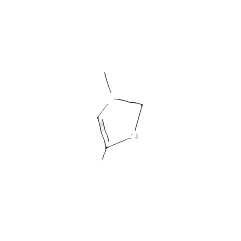 CN1C=C(F)NC1